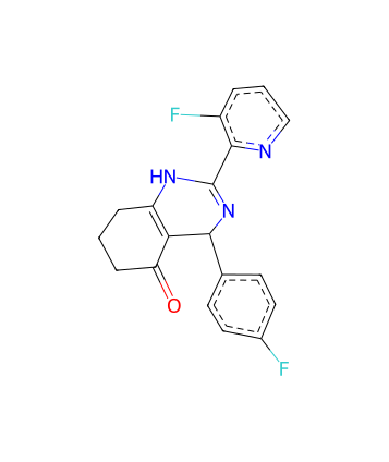 O=C1CCCC2=C1C(c1ccc(F)cc1)N=C(c1ncccc1F)N2